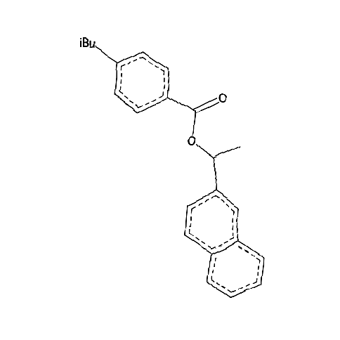 CCC(C)c1ccc(C(=O)OC(C)c2ccc3ccccc3c2)cc1